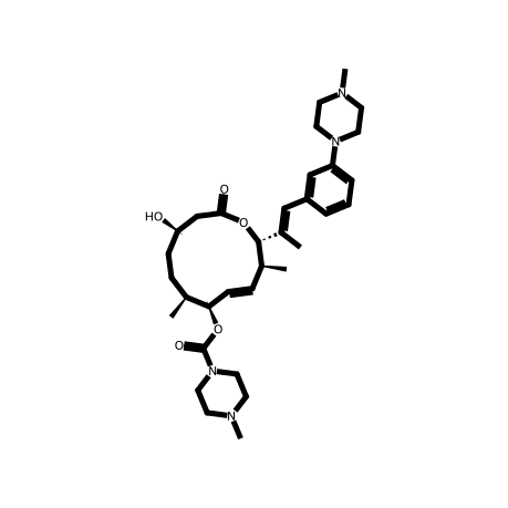 C/C(=C\c1cccc(N2CCN(C)CC2)c1)[C@H]1OC(=O)C[C@H](O)CC[C@H](C)[C@H](OC(=O)N2CCN(C)CC2)/C=C/[C@@H]1C